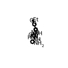 CCC(=O)N1CCC(c2ccc(N/C(=N/C(=N)N[C@@H]3CCCC[C@@H]3N)C(=N)C(N)=O)cc2)CC1